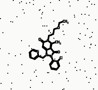 CCOCCCn1c(C)c2c(=O)n(-c3ccccc3Cl)n(Cc3ccccn3)c2cc1=O